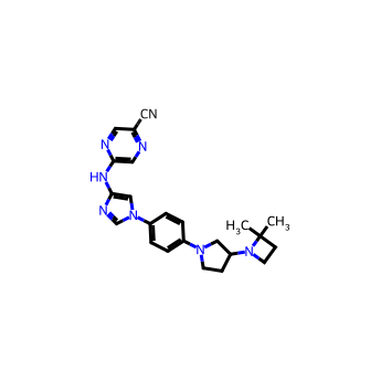 CC1(C)CCN1C1CCN(c2ccc(-n3cnc(Nc4cnc(C#N)cn4)c3)cc2)C1